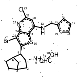 N[C@@H]1CC2CCC(C2)[C@H]1c1sc2c(NCc3cccs3)cc(Cl)nc2c1Br.O=CO